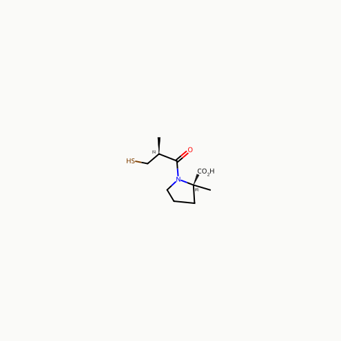 C[C@H](CS)C(=O)N1CCC[C@]1(C)C(=O)O